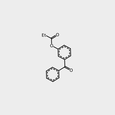 CCC(=O)Oc1cccc(C(=O)c2ccccc2)c1